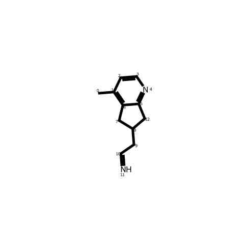 Cc1ccnc2c1CC(CC=N)C2